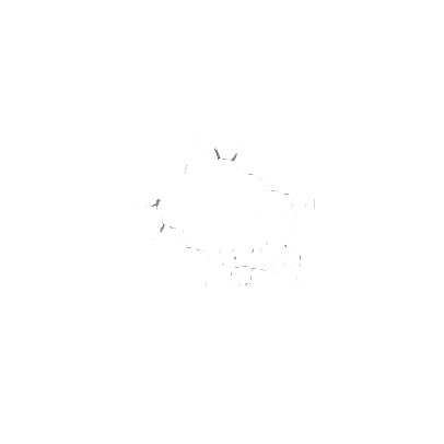 C=C(C)C(=O)OCCC[Si](C)(C)OC(C)(CC)[Si](C)(C)OC(C)(CC)[Si](C)(C)CCCOC(=O)C(=C)C